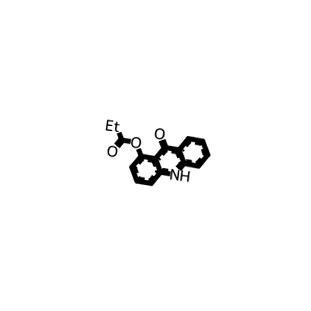 CCC(=O)Oc1cccc2[nH]c3ccccc3c(=O)c12